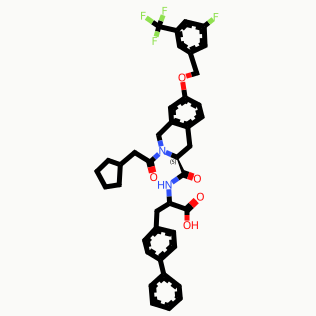 O=C(O)C(Cc1ccc(-c2ccccc2)cc1)NC(=O)[C@@H]1Cc2ccc(OCc3cc(F)cc(C(F)(F)F)c3)cc2CN1C(=O)CC1CCCC1